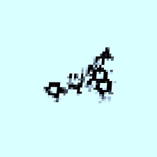 C/C(C(=O)Nc1ccccc1F)=C(/O)[C@@H]1Oc2c(O)ccc3c2[C@@]12CCN(CC1CC1)[C@H](C3)[C@@]2(C)O